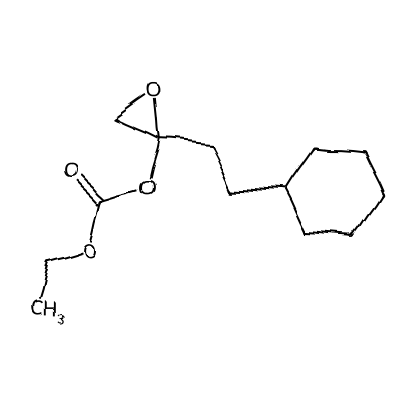 CCOC(=O)OC1(CCC2CCCCC2)CO1